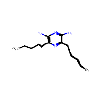 CCCCCc1nc(CCCCC)c(N)nc1N